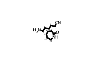 N#CCCCCCN.O=C1CCCCCN1